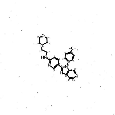 Cc1ccc(-n2c(-c3ccc(NCCN4CCOCC4)nc3)nc3ccncc32)cc1